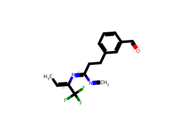 C=N/C(CCc1cccc(C=O)c1)=N\C(=C/C)C(F)(F)F